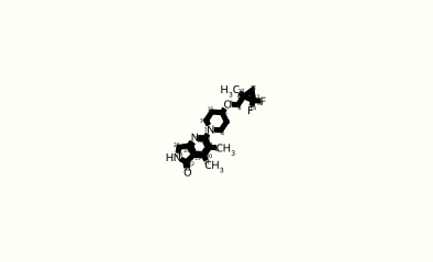 Cc1c(N2CCC(OCC3(C)CC3(F)F)CC2)nc2c(c1C)C(=O)NC2